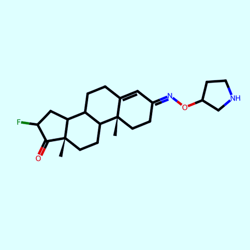 C[C@]12CCC(=NOC3CCNC3)C=C1CCC1C2CC[C@]2(C)C(=O)C(F)CC12